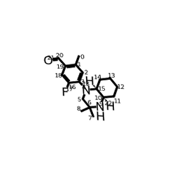 Cc1cc(N2CC(C)(C)N[C@@H]3CCCC[C@@H]32)c(F)cc1C=O